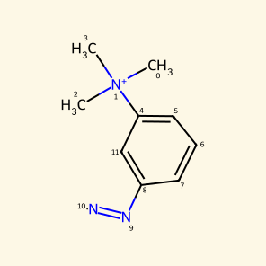 C[N+](C)(C)c1cccc(N=[N])c1